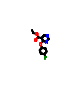 CCOC(=O)c1cncnc1Oc1ccc(F)cc1